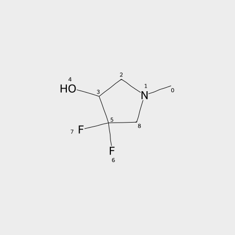 CN1CC(O)C(F)(F)C1